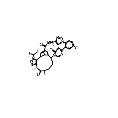 CC1C2=CC(C(N)=O)=CC1c1c(cnn1C(F)F)NC(=O)[C@H](C)CCC[C@@H]2n1cnc(-c2cc(Cl)ccc2-n2cc(Cl)nn2)cc1=O